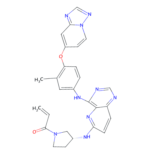 C=CC(=O)N1CC[C@@H](Nc2ccc3ncnc(Nc4ccc(Oc5ccn6ncnc6c5)c(C)c4)c3n2)C1